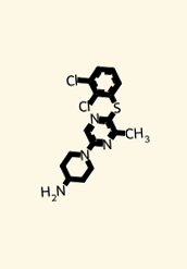 Cc1nc(N2CCC(N)CC2)cnc1Sc1cccc(Cl)c1Cl